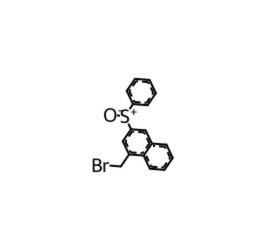 [O-][S+](c1ccccc1)c1cc(CBr)c2ccccc2c1